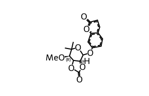 CO[C@@H]1C2OC(=O)O[C@@H]2C(Oc2ccc3ccc(=O)oc3c2)OC1(C)C